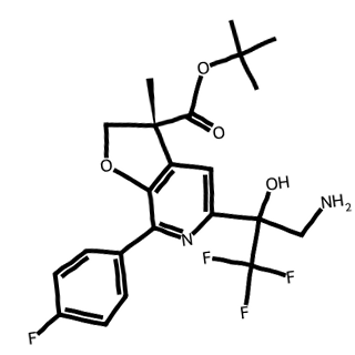 CC(C)(C)OC(=O)[C@@]1(C)COc2c1cc(C(O)(CN)C(F)(F)F)nc2-c1ccc(F)cc1